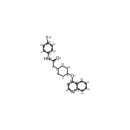 O=C(CC1CCC(Oc2ccnc3ccccc23)CC1)Nc1ccc(F)cc1